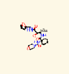 CCCC[C@H](NC(=O)C1(NC(=O)N2CCOCC2)CCCCC1)C(=O)C(=O)NCc1ccco1